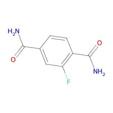 NC(=O)c1ccc(C(N)=O)c(F)c1